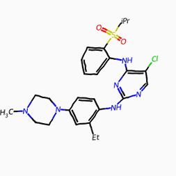 CCc1cc(N2CCN(C)CC2)ccc1Nc1ncc(Cl)c(Nc2ccccc2S(=O)(=O)C(C)C)n1